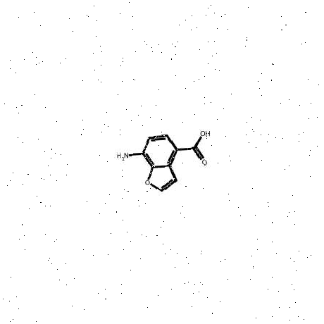 Nc1ccc(C(=O)O)c2ccoc12